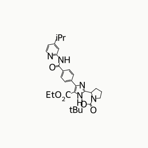 CCOC(=O)c1[nH]c(C2CCCN2C(=O)OC(C)(C)C)nc1-c1ccc(C(=O)Nc2cc(C(C)C)ccn2)cc1